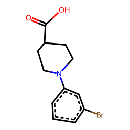 O=C(O)C1CCN(c2cccc(Br)c2)CC1